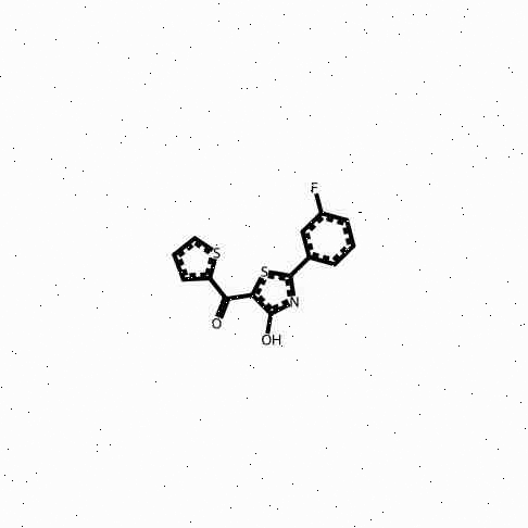 O=C(c1cccs1)c1sc(-c2cccc(F)c2)nc1O